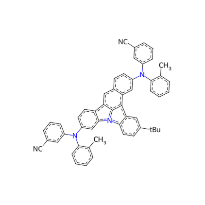 Cc1ccccc1N(c1cccc(C#N)c1)c1ccc2cc3c4ccc(N(c5cccc(C#N)c5)c5ccccc5C)cc4n4c5ccc(C(C)(C)C)cc5c(c2c1)c34